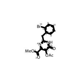 COC(=O)c1nc(Cc2ccccc2Br)[nH]c(=O)c1OC(C)=O